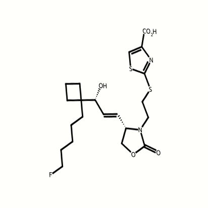 O=C(O)c1csc(SCCN2C(=O)OC[C@@H]2C=C[C@@H](O)C2(CCCCCF)CCC2)n1